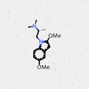 COc1ccc2c(c1)cc(OC)n2C[C@@H](C)N(C)C